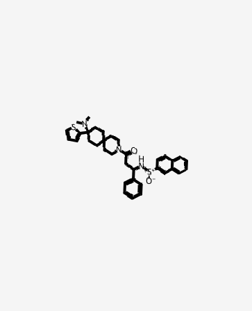 CN(C)C1(c2cccs2)CCC2(CCN(C(=O)CC(N[S@@+]([O-])c3ccc4ccccc4c3)c3ccccc3)CC2)CC1